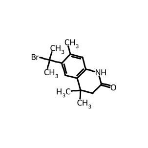 Cc1cc2c(cc1C(C)(C)Br)C(C)(C)CC(=O)N2